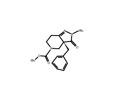 CC(C)(C)OC(=O)N1CCC2=NN(C(C)(C)C)C(=O)[C@]2(Cc2ccccc2)C1